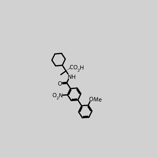 COc1ccccc1-c1ccc(C(=O)N[C@](C)(C(=O)O)C2CCCCC2)c([N+](=O)[O-])c1